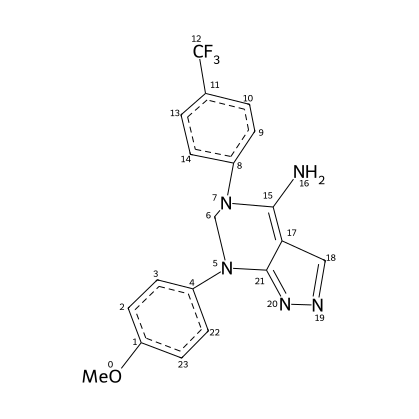 COc1ccc(N2CN(c3ccc(C(F)(F)F)cc3)C(N)=C3C=NN=C32)cc1